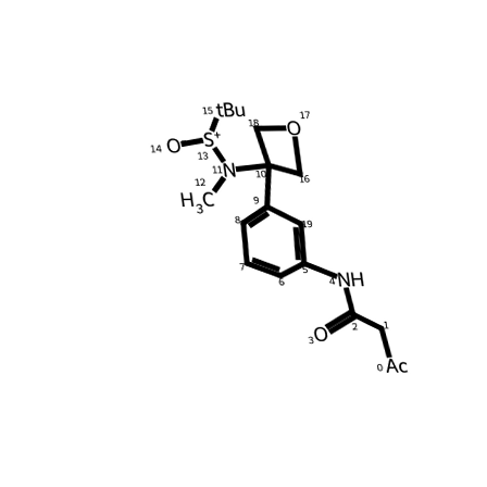 CC(=O)CC(=O)Nc1cccc(C2(N(C)[S+]([O-])C(C)(C)C)COC2)c1